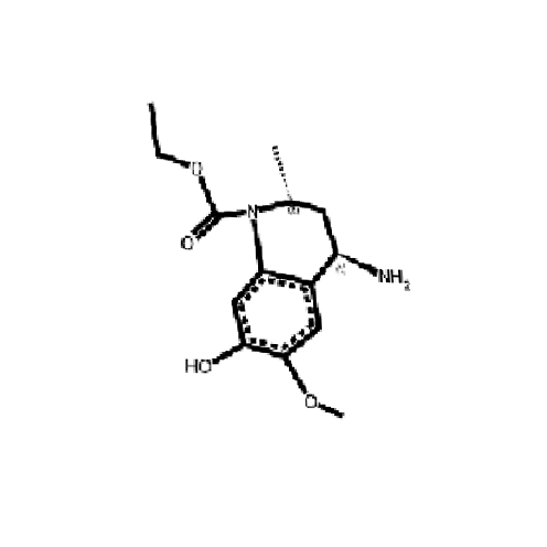 CCOC(=O)N1c2cc(O)c(OC)cc2[C@H](N)C[C@H]1C